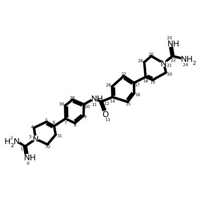 N=C(N)N1CC=C(c2ccc(NC(=O)c3ccc(C4=CCN(C(=N)N)CC4)cc3)cc2)CC1